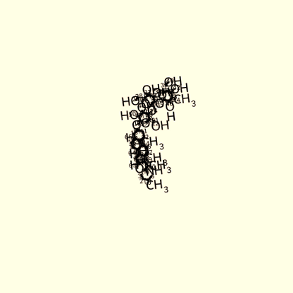 C[C@H]1CC[C@]2(NC1)O[C@H]1C[C@H]3[C@@H]4CC[C@H]5C[C@@H](O[C@@H]6O[C@H](CO)[C@H](O[C@H]7O[C@H](CO)[C@@H](O)[C@H](O)[C@H]7O[C@@H]7O[C@H](CO)[C@@H](O)[C@H](C)[C@H]7O)[C@H](O)[C@H]6O)CC[C@]5(C)[C@H]4CC[C@]3(C)[C@H]1[C@@H]2C